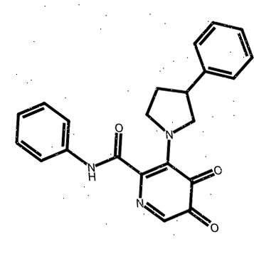 O=C1C=NC(C(=O)Nc2ccccc2)=C(N2CCC(c3ccccc3)C2)C1=O